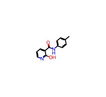 Cc1ccc(NC(=O)c2cccnc2O)cc1